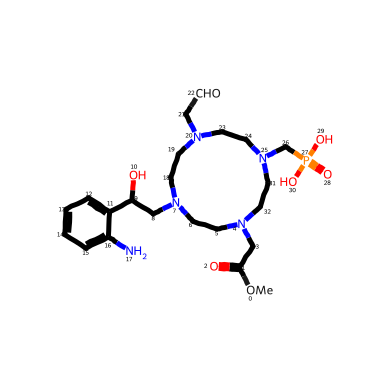 COC(=O)CN1CCN(CC(O)c2ccccc2N)CCN(CC=O)CCN(CP(=O)(O)O)CC1